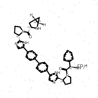 O=C(O)N[C@@H](C(=O)N1CCC[C@H]1c1ncc(-c2ccc(-c3ccc(-c4cnc([C@@H]5CCCN5C(=O)[C@@H]5C[C@@H]6C[C@@H]6N5)[nH]4)cc3)cc2)[nH]1)c1ccccc1